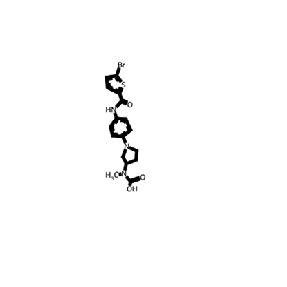 CN(C(=O)O)C1CCN(c2ccc(NC(=O)c3ccc(Br)s3)cc2)C1